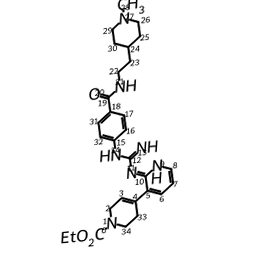 CCOC(=O)N1CC=C(c2ccc[nH]/c2=N\C(=N)Nc2ccc(C(=O)NCCC3CCN(C)CC3)cc2)CC1